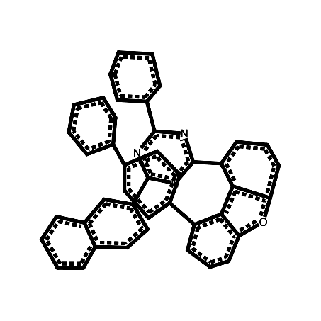 c1ccc(-c2ccc(-c3cccc4oc5cccc(-c6nc(-c7ccccc7)nc(-c7ccc8ccccc8c7)n6)c5c34)cc2)cc1